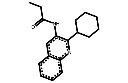 CCC(=O)Nc1cc2ccccc2nc1C1CCCCC1